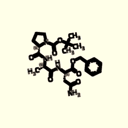 C[C@H](NC(=O)[C@@H]1CCCN1C(=O)OC(C)(C)C)C(=O)N[C@@H](CC(N)=O)C(=O)OCc1ccccc1